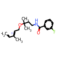 C=C/C(C)=C/COC(C)(C)CCNC(=O)c1cccc(F)c1